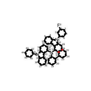 Fc1cccc(-n2c3ccccc3c3c(N(c4ccccc4-c4ccccc4)c4cccc5c4c4ccccc4n5-c4ccccc4)cccc32)c1